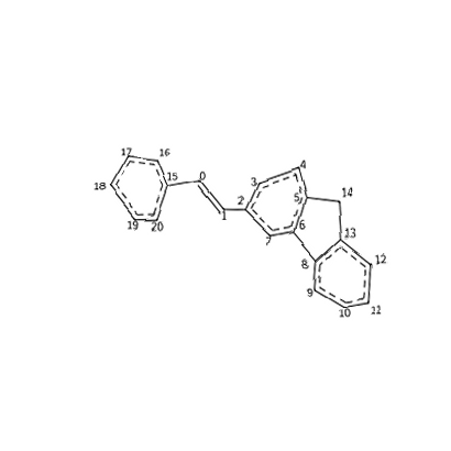 C(=C\c1ccc2c(c1)-c1ccccc1C2)/c1ccccc1